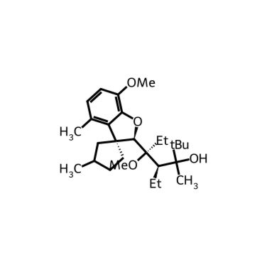 CC[C@H](C(C)(O)C(C)(C)C)[C@@](CC)(OC)[C@@H]1Oc2c(OC)ccc(C)c2[C@@]12CCC(C)C2